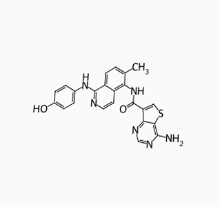 Cc1ccc2c(Nc3ccc(O)cc3)nccc2c1NC(=O)c1csc2c(N)ncnc12